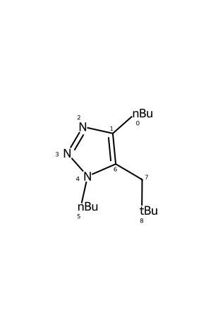 CCCCc1nnn(CCCC)c1CC(C)(C)C